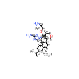 CC(C)[C@@H](C)[C@@]1(C)CC[C@]2(C)[C@H]3CC[C@@H]4[C@@]5(COC[C@@]4(C)[C@@H](OC[C@](C)(N)C(C)C)[C@H](n4cnc(N)n4)C5)C3=CC[C@@]2(C)[C@@H]1C(=O)O